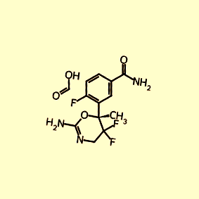 C[C@]1(c2cc(C(N)=O)ccc2F)OC(N)=NCC1(F)F.O=CO